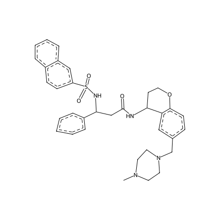 CN1CCN(Cc2ccc3c(c2)C(NC(=O)CC(NS(=O)(=O)c2ccc4ccccc4c2)c2ccccc2)CCO3)CC1